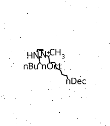 CCCCCCCCCCCCCCCCC(C)[n+]1cc[nH]c1C(CCCC)CCCCCCCC